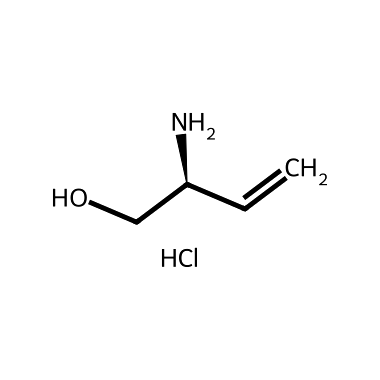 C=C[C@H](N)CO.Cl